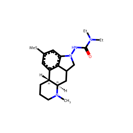 CCN(CC)C(=O)NN1CC2C[C@@H]3[C@H](CCCN3C)c3cc(SC)cc1c32